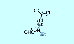 CCN(C=O)CC.ClC(Cl)Cl